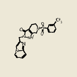 O=c1c2c([nH]n1Cc1cn3ccccc3n1)CN(S(=O)(=O)c1cccc(C(F)(F)F)c1)CC2